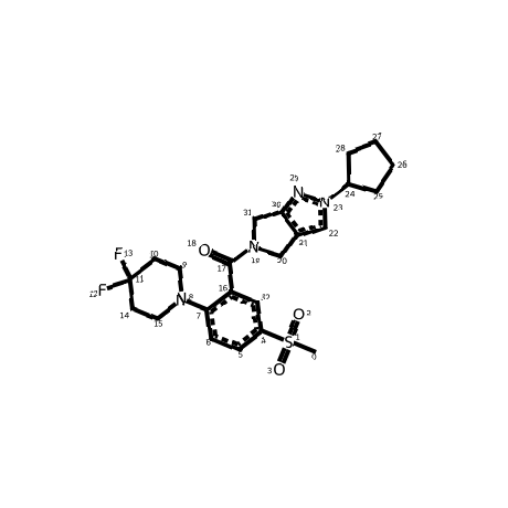 CS(=O)(=O)c1ccc(N2CCC(F)(F)CC2)c(C(=O)N2Cc3cn(C4CCCC4)nc3C2)c1